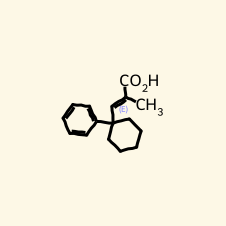 C/C(=C\C1(c2ccccc2)CCCCC1)C(=O)O